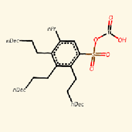 CCCCCCCCCCCCc1c(CCC)cc(S(=O)(=O)[O][Ti](=[O])[OH])c(CCCCCCCCCCCC)c1CCCCCCCCCCCC